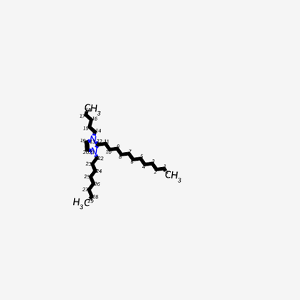 CCCCCCCCCCCCC1N(CCCCC)C=CN1CCCCCCCC